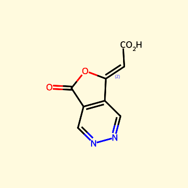 O=C(O)/C=C1\OC(=O)c2cnncc21